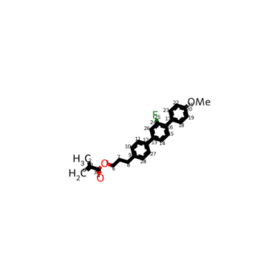 C=C(C)C(=O)OCCCc1ccc(-c2ccc(-c3ccc(OC)cc3)c(F)c2)cc1